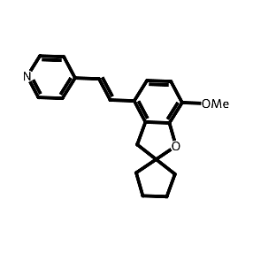 COc1ccc(C=Cc2ccncc2)c2c1OC1(CCCC1)C2